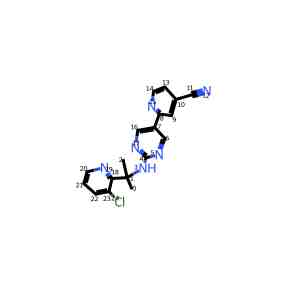 CC(C)(Nc1ncc(-c2cc(C#N)ccn2)cn1)c1ncccc1Cl